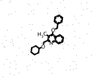 Cc1c(COC2CCCCC2)nc2ccccc2c1OCc1ccccc1